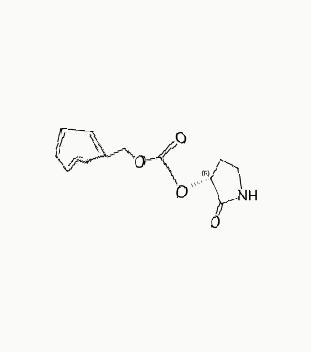 O=C(OCc1ccccc1)O[C@@H]1CCNC1=O